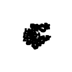 CCC(NC(=O)c1cccc2cc3cc(Br)ccc3nc12)N(C)C(CC)NC(=O)c1cccc2cc3cc(Br)ccc3nc12